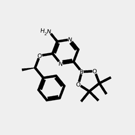 C[C@@H](Oc1nc(B2OC(C)(C)C(C)(C)O2)cnc1N)c1ccccc1